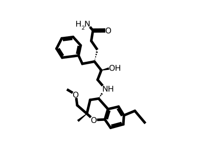 CCc1ccc2c(c1)[C@@H](NC[C@H](O)[C@@H](CCC(N)=O)Cc1ccccc1)C[C@@](C)(COC)O2